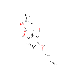 CCCCOc1cccc(C(O)(CCC)C(=O)O)c1